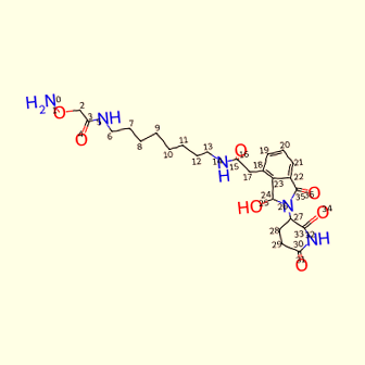 NOCC(=O)NCCCCCCCCNC(=O)Cc1cccc2c1C(O)N(C1CCC(=O)NC1=O)C2=O